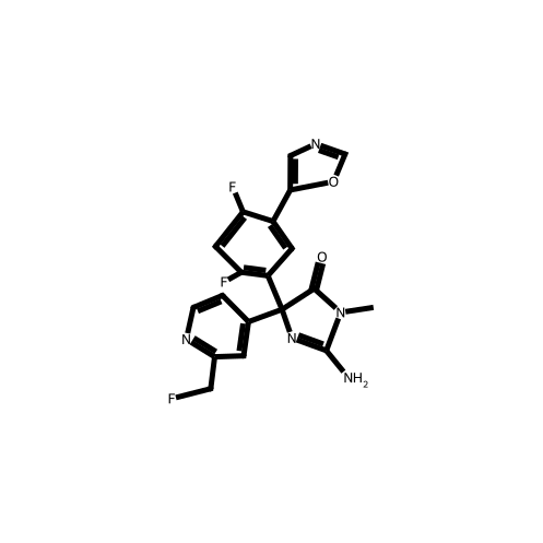 CN1C(=O)C(c2ccnc(CF)c2)(c2cc(-c3cnco3)c(F)cc2F)N=C1N